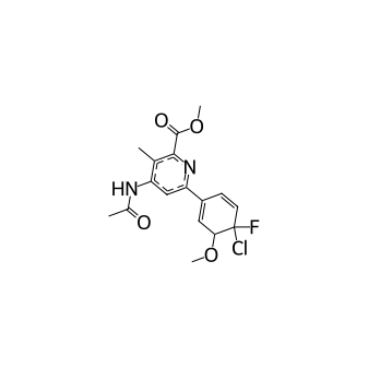 COC(=O)c1nc(C2=CC(OC)C(F)(Cl)C=C2)cc(NC(C)=O)c1C